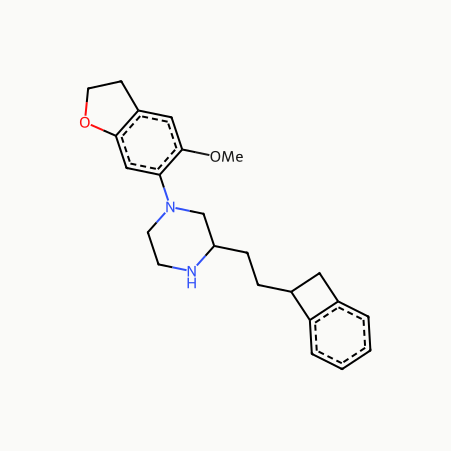 COc1cc2c(cc1N1CCNC(CCC3Cc4ccccc43)C1)OCC2